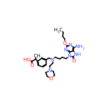 CCCCOc1nc(N)c2[nH]c(=O)n(CCCCN(CCN3CCOCC3)Cc3cccc(C(C)C(=O)O)c3)c2n1